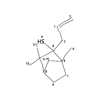 C=CCC1(S)C2(C)CCC(C2)C1(C)C